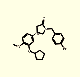 COc1ccc([C@@H]2CC(=O)N(Cc3ccc(Br)cc3)C2)cc1OC1CCCC1